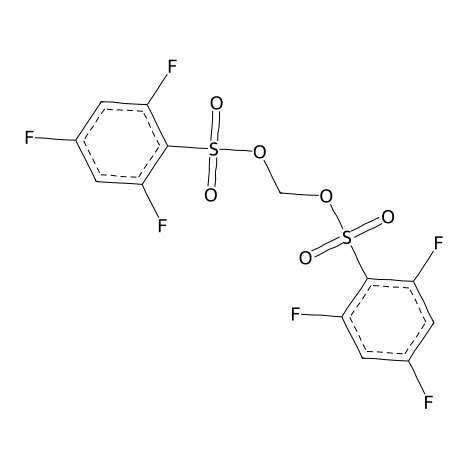 O=S(=O)(OCOS(=O)(=O)c1c(F)cc(F)cc1F)c1c(F)cc(F)cc1F